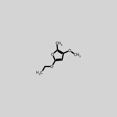 CCOc1cc(OC)c(C)o1